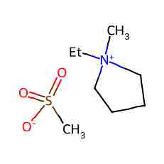 CC[N+]1(C)CCCC1.CS(=O)(=O)[O-]